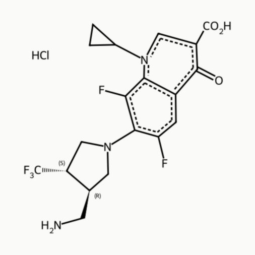 Cl.NC[C@@H]1CN(c2c(F)cc3c(=O)c(C(=O)O)cn(C4CC4)c3c2F)C[C@H]1C(F)(F)F